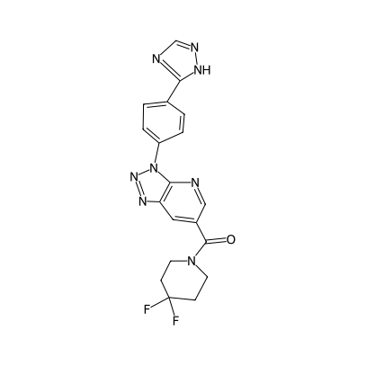 O=C(c1cnc2c(c1)nnn2-c1ccc(-c2ncn[nH]2)cc1)N1CCC(F)(F)CC1